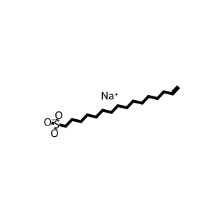 C=CCCCCCCCCCCCCCCS(=O)(=O)[O-].[Na+]